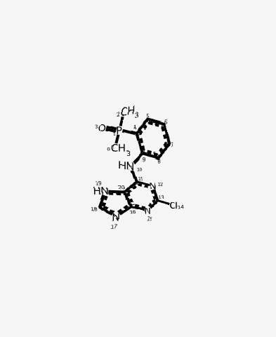 CP(C)(=O)c1ccccc1Nc1nc(Cl)nc2nc[nH]c12